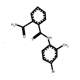 Cc1cc(Br)ccc1NC(=S)c1ccccc1C(N)=O